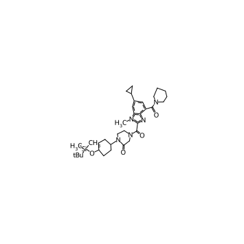 Cn1c(C(=O)N2CCN(C3CCC(O[Si](C)(C)C(C)(C)C)CC3)C(=O)C2)nc2c(C(=O)N3CCCCC3)cc(C3CC3)cc21